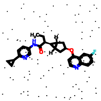 CCC(C(=O)Nc1ccc(C2CC2)nc1)[C@H]1[C@@H]2C[C@@H](Oc3ccnc4ccc(F)cc34)C[C@@H]21